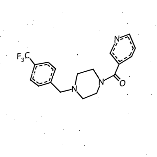 O=C(c1cccnc1)N1CCN(Cc2ccc(C(F)(F)F)cc2)CC1